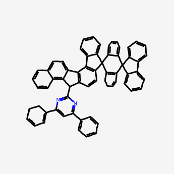 C1=CCCC(c2cc(-c3ccccc3)nc(C3c4ccc5c(c4-c4ccc6ccccc6c43)-c3ccccc3C53C4=C(C=CCC4)C4(c5ccccc5-c5ccccc54)c4ccccc43)n2)=C1